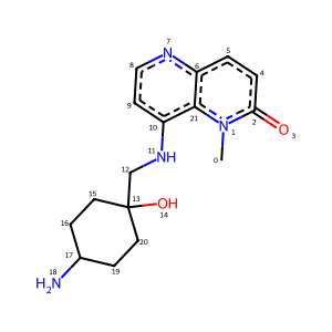 Cn1c(=O)ccc2nccc(NCC3(O)CCC(N)CC3)c21